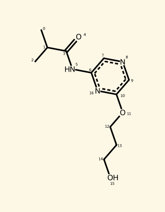 CC(C)C(=O)Nc1cncc(OCCCO)n1